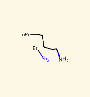 CCCCCCN.CCN